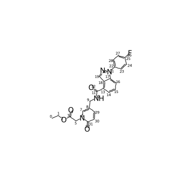 CCOC(=O)Cn1cc(CNC(=O)c2cccc3c2cnn3-c2ccc(F)cc2)ccc1=O